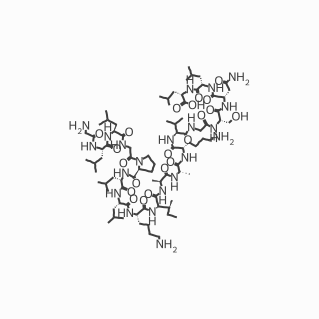 CC[C@H](C)[C@H](NC(=O)[C@H](CCCCN)NC(=O)[C@H](CC(C)C)NC(=O)[C@H](CC(C)C)NC(=O)[C@@H]1CCCN1C(=O)CNC(=O)[C@H](CC(C)C)NC(=O)[C@H](CC(C)C)NC(=O)CN)C(=O)N[C@@H](C)C(=O)N[C@@H](C)C(=O)N[C@@H](CCCCN)C(=O)N[C@H](C(=O)NCC(=O)N[C@@H](CO)C(=O)N[C@@H](CC(N)=O)C(=O)N[C@@H](CC(C)C)C(=O)N[C@@H](CC(C)C)C(=O)O)C(C)C